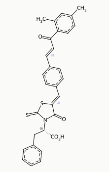 Cc1ccc(C(=O)/C=C/c2ccc(/C=C3\SC(=S)N([C@@H](Cc4ccccc4)C(=O)O)C3=O)cc2)c(C)c1